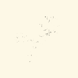 CN(CCN(C)C(=O)OC(C)(C)C)Cc1cn(C2CCCCO2)nc1C1=CCC(COCCC2CCOCC2)(COCCC2CCOCC2)CC1